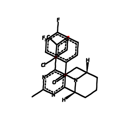 Cc1nc(-c2ccc(F)cc2)c2c(n1)[C@H]1CCC[C@@H](C2)N1C(=O)c1cccc(C(F)(F)F)c1Cl